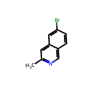 Cc1cc2cc(Br)ccc2cn1